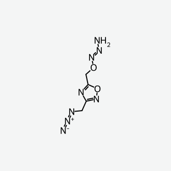 [N-]=[N+]=NCc1noc(CON=NN)n1